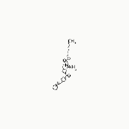 CCCCCCCCOC(=O)CN1CCc2ccc(C(=O)c3ccc(C=NN4CCCCC4)cc3)cc2C1N